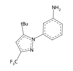 CC(C)(C)c1cc(C(F)(F)F)nn1-c1cccc(N)c1